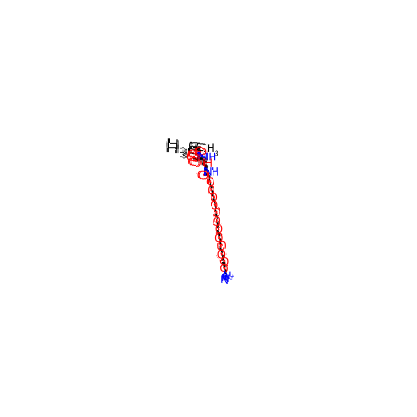 CC(C)(C)OC(=O)N[C@@H](CCCCNC(=O)CCOCCOCCOCCOCCOCCOCCOCCOCCOCCOCCOCCOCCN=[N+]=[N-])C(=O)O